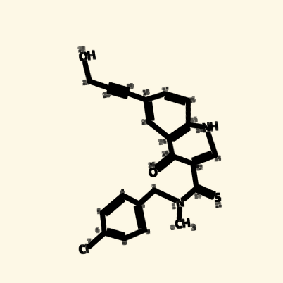 CN(Cc1ccc(Cl)cc1)C(=S)c1c[nH]c2ccc(C#CCO)cc2c1=O